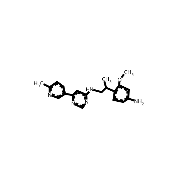 COc1cc(N)ccc1C(C)CNc1cc(-c2ccc(C)nc2)ncn1